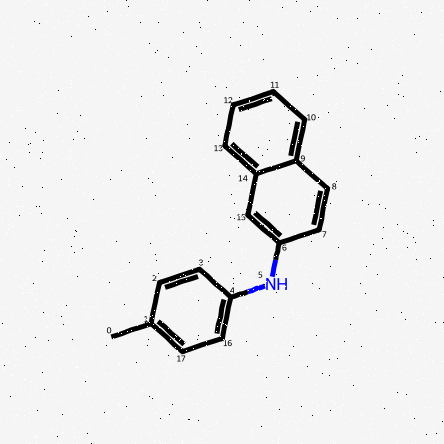 Cc1ccc(Nc2ccc3c[c]ccc3c2)cc1